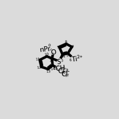 CCCOC1(SC2=[C]([Ti+2])CC=C2)CC=CC=C1C.[Cl-].[Cl-]